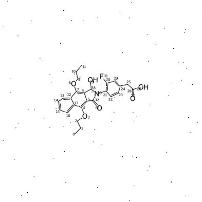 CCCOc1c2c(c(OCCC)c3ccccc13)C(O)N(c1ccc(CC(=O)O)cc1F)C2=O